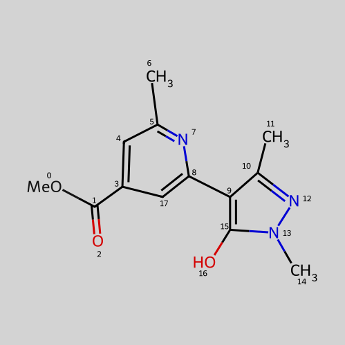 COC(=O)c1cc(C)nc(-c2c(C)nn(C)c2O)c1